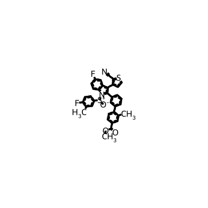 COC(=O)c1ccc(-c2cccc(-c3c(-c4ccsc4C#N)c4cc(F)ccc4n3[S+]([O-])c3ccc(F)c(C)c3)c2)c(C)c1